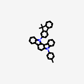 Cc1ccc(-n2c3ccccc3c3c2ccc2c4ccccc4n(-c4ccc5c(c4)C(C)(C)c4ccccc4-5)c23)cc1